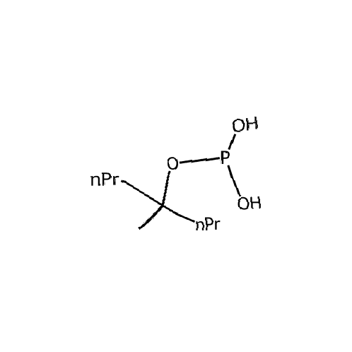 CCCC(C)(CCC)OP(O)O